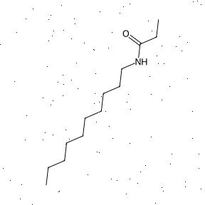 CCCCCCCCCCNC(=O)CC